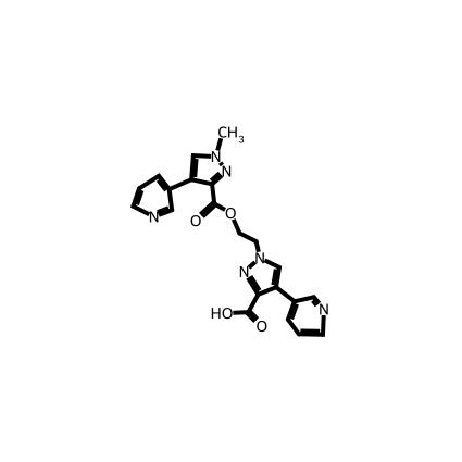 Cn1cc(-c2cccnc2)c(C(=O)OCCn2cc(-c3cccnc3)c(C(=O)O)n2)n1